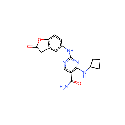 NC(=O)c1cnc(Nc2ccc3c(c2)CC(=O)O3)nc1NC1CCC1